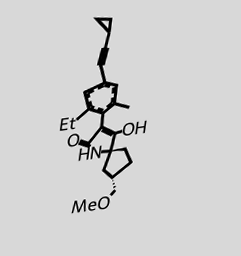 CCc1cc(C#CC2CC2)cc(C)c1C1=C(O)[C@@]2(CC[C@H](COC)C2)NC1=O